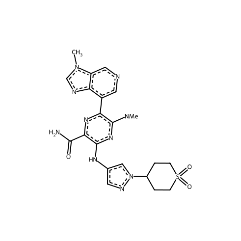 CNc1nc(Nc2cnn(C3CCS(=O)(=O)CC3)c2)c(C(N)=O)nc1-c1cncc2c1ncn2C